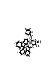 O=C(N[C@@H](Cc1cn(C(c2ccccc2)(c2ccccc2)c2ccccc2)c2ccccc12)C(=O)O)OCc1ccccc1